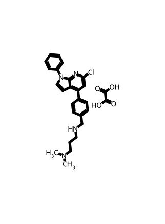 CN(C)CCCNCc1ccc(-c2cc(Cl)nc3c2ccn3-c2ccccc2)cc1.O=C(O)C(=O)O